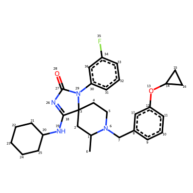 CC1CC2(CCN1Cc1cccc(OC3CC3)c1)C(NC1CCCCC1)=NC(=O)N2c1cccc(F)c1